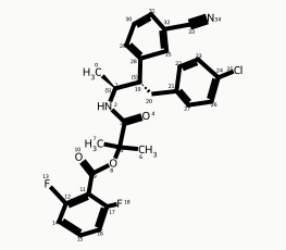 C[C@H](NC(=O)C(C)(C)OC(=O)c1c(F)cccc1F)[C@@H](Cc1ccc(Cl)cc1)c1cccc(C#N)c1